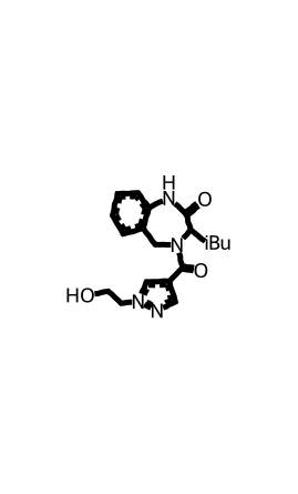 CCC(C)C1C(=O)Nc2ccccc2CN1C(=O)c1cnn(CCO)c1